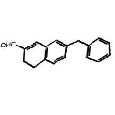 O=CC1=Cc2cc(Cc3ccccc3)ccc2CC1